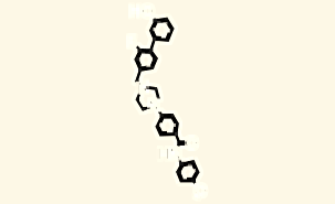 COc1ccc(NC(=O)c2ccc(N3CCN(Cc4ccc(-c5cccc(O)c5)c(F)c4)CC3)cc2)cc1